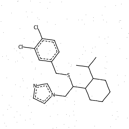 CC(C)C1CCCCC1C(Cn1ccnc1)SCc1ccc(Cl)c(Cl)c1